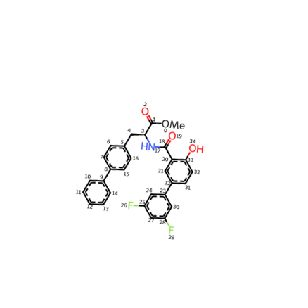 COC(=O)[C@H](Cc1ccc(-c2ccccc2)cc1)NC(=O)c1cc(-c2cc(F)cc(F)c2)ccc1O